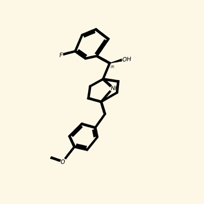 COc1ccc(CC23CCC([C@H](O)c4cccc(F)c4)(CC2)N3)cc1